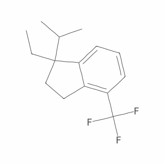 CCC1(C(C)C)CCc2c(C(F)(F)F)cccc21